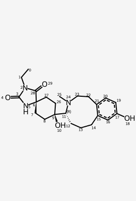 CCN1C(=O)N[C@]2(CC[C@@](O)([C@H]3CCCc4cc(O)ccc4CCN3C)CC2)C1=O